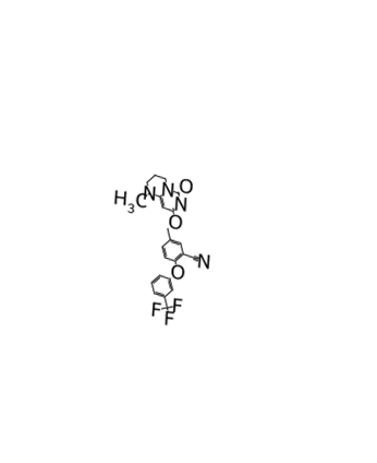 CN1CCCn2c1cc(OCc1ccc(Oc3cccc(C(F)(F)F)c3)c(C#N)c1)nc2=O